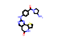 NC1CCN(C(=O)c2ccc(Nc3ncc4c(n3)-c3sccc3NC(=O)C4)cc2)C1